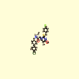 CCCN(Cc1ccc(-c2ccc(Cl)cc2)cc1)C(=O)Cn1cc(C)c(=O)nc1SCc1ccc(F)cc1